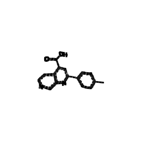 Cc1ccc(-c2cc(C(=O)O)c3ccncc3n2)cc1